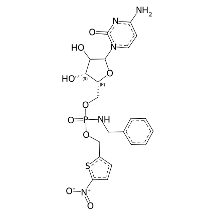 Nc1ccn(C2O[C@H](COP(=O)(NCc3ccccc3)OCc3ccc([N+](=O)[O-])s3)[C@H](O)C2O)c(=O)n1